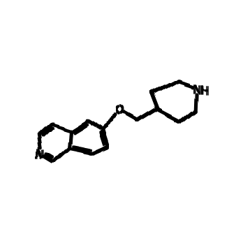 c1cc2cc(OCC3CCNCC3)ccc2cn1